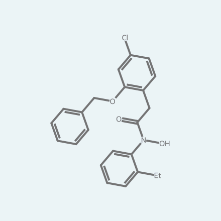 CCc1ccccc1N(O)C(=O)Cc1ccc(Cl)cc1OCc1ccccc1